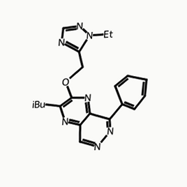 CCC(C)c1nc2cnnc(-c3ccccc3)c2nc1OCc1ncnn1CC